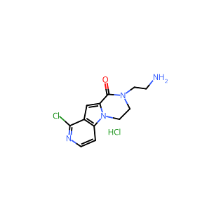 Cl.NCCN1CCn2c(cc3c(Cl)nccc32)C1=O